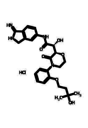 CC(C)(O)CCOc1ccccc1N1CCO[C@H]([C@@H](O)C(=O)Nc2ccc3c(c2)CNC3=N)C1=O.Cl